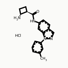 Cc1cccc(-n2ncc3ccc(NC(=O)[C@@H]4CC[C@H]4N)cc32)c1.Cl